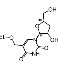 CCOCc1cn([C@H]2O[C@@H](CO)CC2O)c(=O)[nH]c1=O